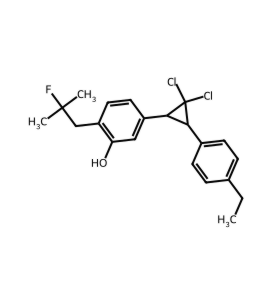 CCc1ccc(C2C(c3ccc(CC(C)(C)F)c(O)c3)C2(Cl)Cl)cc1